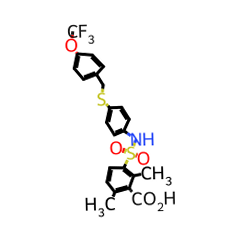 Cc1ccc(S(=O)(=O)Nc2ccc(SCc3ccc(OC(F)(F)F)cc3)cc2)c(C)c1C(=O)O